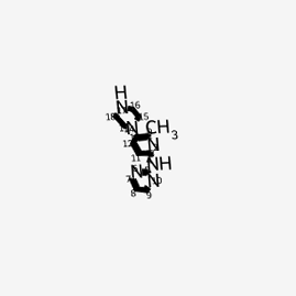 Cc1nc(Nc2ncccn2)ccc1N1CCNCC1